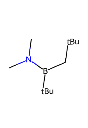 CN(C)B(CC(C)(C)C)C(C)(C)C